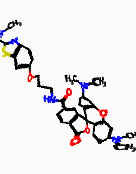 C/N=C\c1nc2ccc(OCCCNC(=O)c3ccc4c(c3)C3(OC4=O)c4ccc(N(C)C)cc4Oc4cc(N(C)C)ccc43)cc2s1